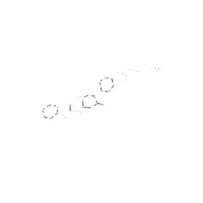 CSCCCNCc1ccc(-c2c[nH]c(NC(=O)Nc3ccccc3OC(F)(F)F)nc2=O)cc1